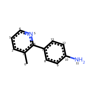 Cc1cccnc1-c1ccc(N)cc1